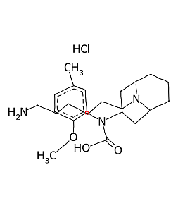 COc1ccc(C)cc1N(C(=O)O)C1CC2CCCC(C1)N2CCCCCCN.Cl